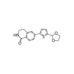 O=C1NCCc2cc(-c3ccc(C4OCCO4)s3)ccc21